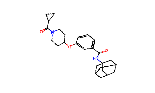 O=C(NC12CC3CC(CC(C3)C1)C2)c1cccc(OC2CCN(C(=O)C3CC3)CC2)c1